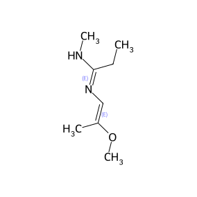 CC/C(=N\C=C(/C)OC)NC